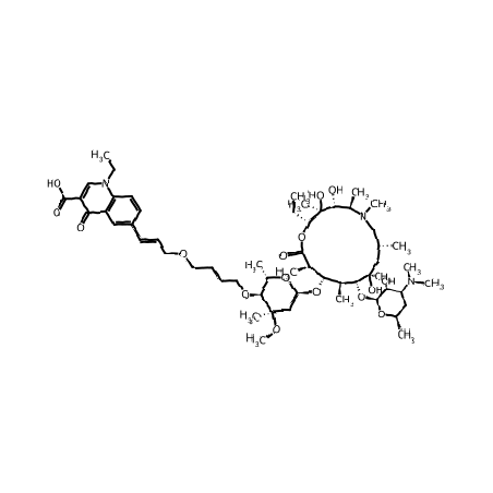 CC[C@H]1OC(=O)[C@H](C)[C@@H](O[C@H]2C[C@@](C)(OC)[C@@H](OCCCCOCC=Cc3ccc4c(c3)c(=O)c(C(=O)O)cn4CC)[C@H](C)O2)[C@H](C)[C@@H](O[C@@H]2O[C@H](C)C[C@H](N(C)C)[C@H]2O)[C@](C)(O)C[C@@H](C)CN(C)[C@H](C)[C@@H](O)[C@]1(C)O